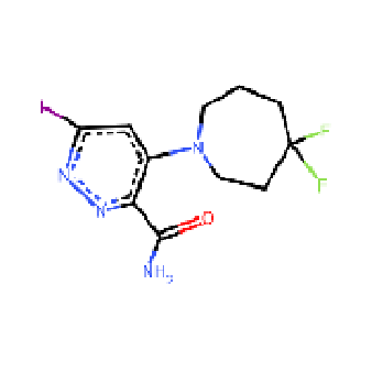 NC(=O)c1nnc(I)cc1N1CCCC(F)(F)CC1